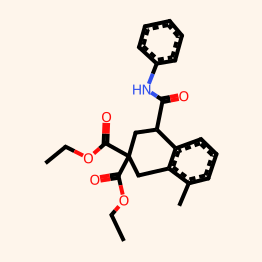 CCOC(=O)C1(C(=O)OCC)Cc2c(C)cccc2C(C(=O)Nc2ccccc2)C1